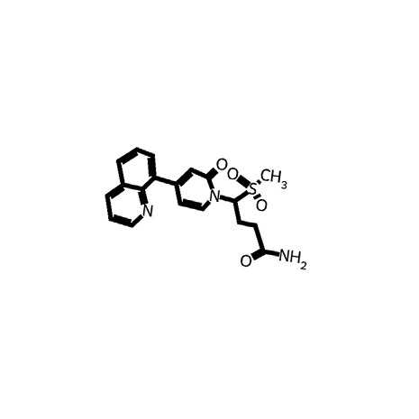 CS(=O)(=O)C(CCC(N)=O)n1ccc(-c2cccc3cccnc23)cc1=O